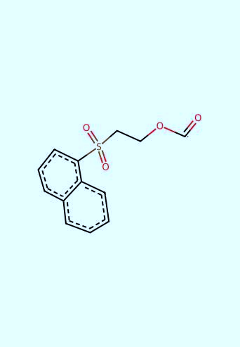 O=[C]OCCS(=O)(=O)c1cccc2ccccc12